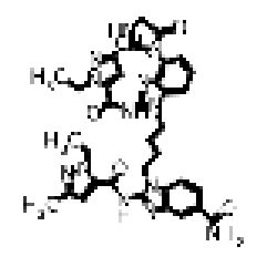 CCn1nc(C)cc1C(=O)Nc1nc2cc(C(N)=O)ccc2n1CCCCn1c(NC(=O)c2cc(C)nn2CC)nc2c(N3CNCC3=O)cccc21